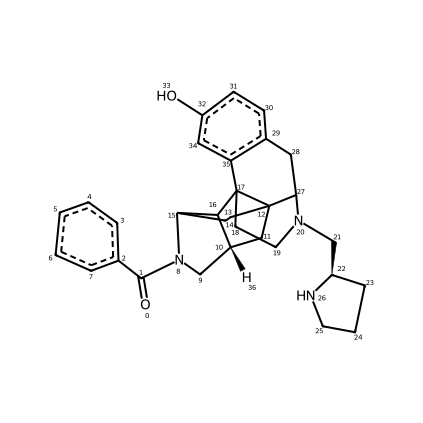 O=C(c1ccccc1)N1C[C@H]2CC34CCC1C2C31CCN(C[C@H]2CCCN2)C4Cc2ccc(O)cc21